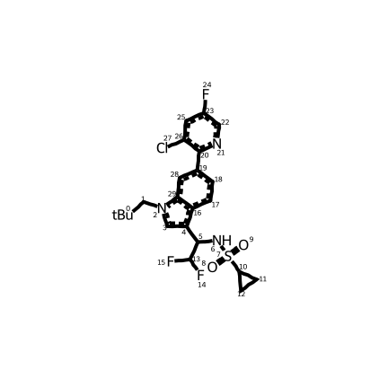 CC(C)(C)Cn1cc(C(NS(=O)(=O)C2CC2)C(F)F)c2ccc(-c3ncc(F)cc3Cl)cc21